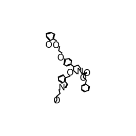 COCCCn1ccc2c(COC3CN(C(=O)OCc4ccccc4)CCC3c3ccc(OCCCOCc4ccccc4OC)cc3)cccc21